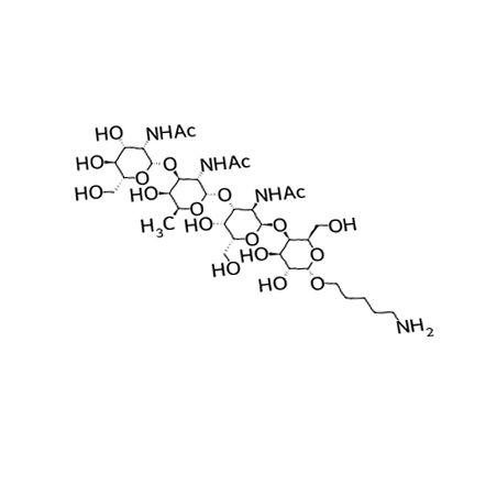 CC(=O)N[C@@H]1[C@H](O[C@@H]2[C@H](O)[C@H](C)O[C@@H](O[C@H]3[C@@H](O)[C@@H](CO)O[C@H](O[C@@H]4[C@H](O)[C@@H](O)[C@@H](OCCCCCN)O[C@@H]4CO)[C@@H]3NC(C)=O)[C@H]2NC(C)=O)O[C@H](CO)[C@@H](O)[C@@H]1O